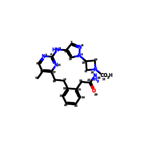 Cc1cnc(Nc2cnn(C3CN(C(=O)O)C3)c2)nc1CCc1ccccc1CC(N)=O